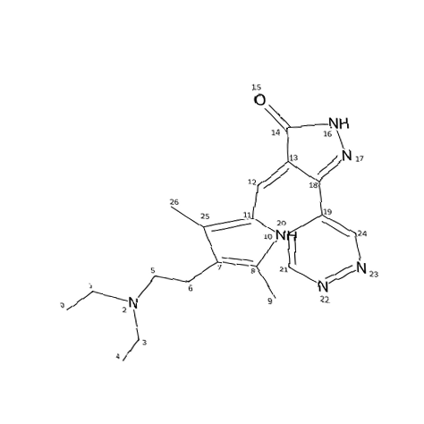 CCN(CC)CCc1c(C)[nH]c(/C=C2/C(=O)NN=C2c2ccnnc2)c1C